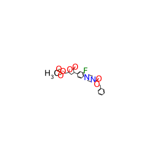 CS(=O)(=O)OCC1CC(c2ccc(N3CCN(C(=O)OCc4ccccc4)CC3)c(F)c2)C(=O)O1